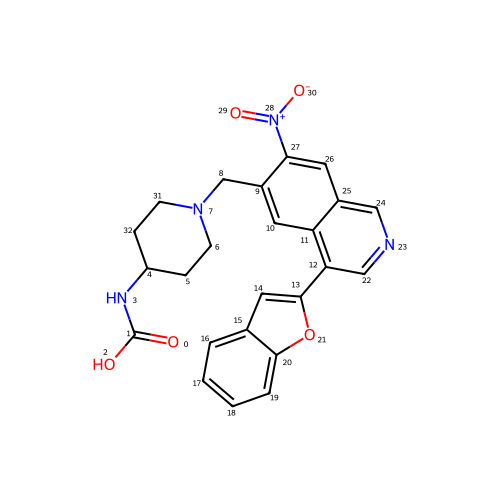 O=C(O)NC1CCN(Cc2cc3c(-c4cc5ccccc5o4)cncc3cc2[N+](=O)[O-])CC1